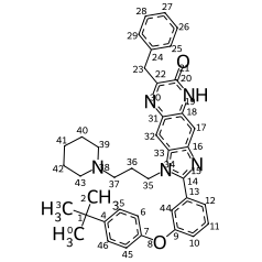 CC(C)(C)c1ccc(Oc2cccc(-c3nc4cc5[nH]c(=O)c(Cc6ccccc6)nc5cc4n3CCCN3CCCCC3)c2)cc1